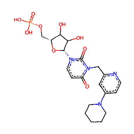 O=c1ccn([C@@H]2O[C@H](COP(=O)(O)O)C(O)C2O)c(=O)n1Cc1cc(N2CCCCC2)ccn1